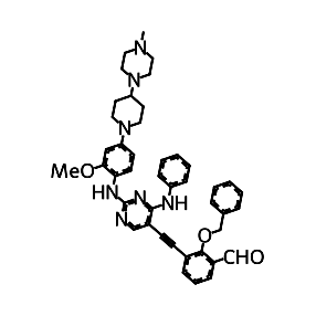 COc1cc(N2CCC(N3CCN(C)CC3)CC2)ccc1Nc1ncc(C#Cc2cccc(C=O)c2OCc2ccccc2)c(Nc2ccccc2)n1